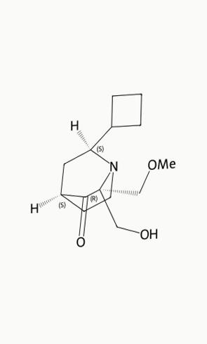 COC[C@]1(CO)C(=O)[C@H]2CCN1[C@H](C1CCC1)C2